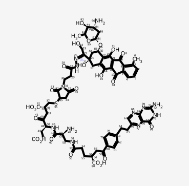 Cc1cccc2c1C(=O)c1c(O)c3c(c(O)c1C2=O)C[C@@](O)(/C(CO)=N\NC(=O)CCN1C(=O)CC(SC[C@H](CC(=O)[C@H](CC(=O)O)NC(=O)[C@@H](N)CNC(=O)CC[C@@H](CC(=O)c2ccc(CCc4cnc5nc(N)[nH]c(=O)c5n4)cc2)C(=O)O)C(=O)O)C1=O)C[C@@H]3O[C@H]1C[C@@H](N)[C@H](O)C(C)O1